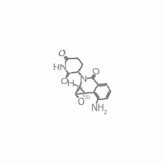 Nc1cccc2c1[C@@]13OC1[C@@H]3N(C1CCC(=O)NC1=O)C2=O